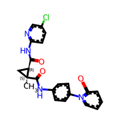 C[C@]1(C(=O)Nc2ccc(-n3ccccc3=O)cc2)C[C@H]1C(=O)Nc1ccc(Cl)cn1